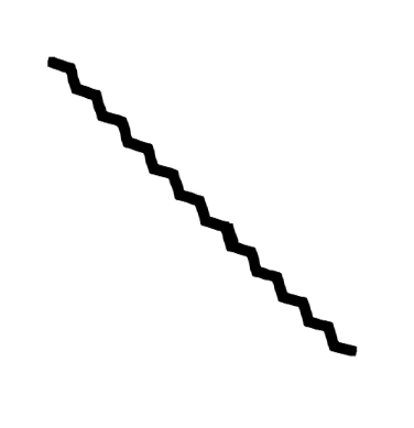 CCCCCCCCC/C=C/CCCCCCCCCCCCC